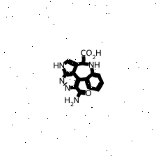 NC(=O)c1nnc2[nH]cc3c2c1-c1ccccc1NC3C(=O)O